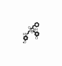 COc1ccc(NCCNC(=O)C(CC2CCCCC2)NC(=O)c2cccc(Cl)c2)cc1